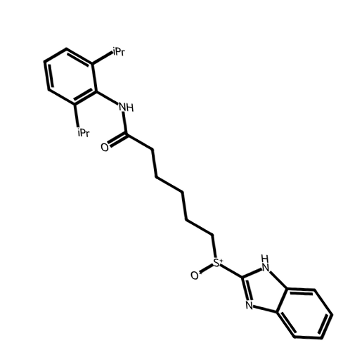 CC(C)c1cccc(C(C)C)c1NC(=O)CCCCC[S+]([O-])c1nc2ccccc2[nH]1